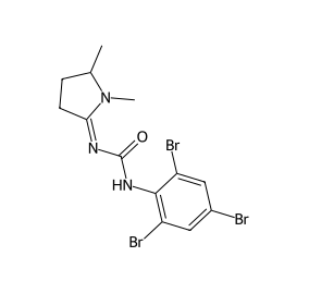 CC1CC/C(=N/C(=O)Nc2c(Br)cc(Br)cc2Br)N1C